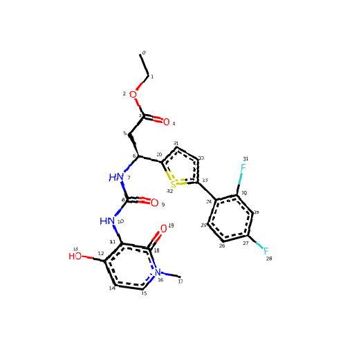 CCOC(=O)C[C@H](NC(=O)Nc1c(O)ccn(C)c1=O)c1ccc(-c2ccc(F)cc2F)s1